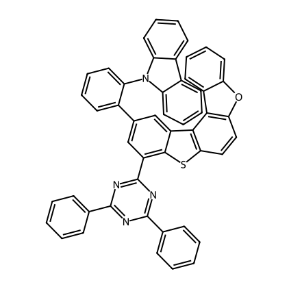 c1ccc(-c2nc(-c3ccccc3)nc(-c3cc(-c4ccccc4-n4c5ccccc5c5ccccc54)cc4c3sc3ccc5oc6ccccc6c5c34)n2)cc1